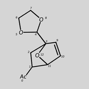 CC(=O)C1CC2(C3OCCO3)C=CC1O2